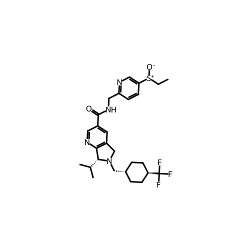 CC[S+]([O-])c1ccc(CNC(=O)c2cnc3c(c2)CN(C[C@H]2CC[C@H](C(F)(F)F)CC2)[C@@H]3C(C)C)nc1